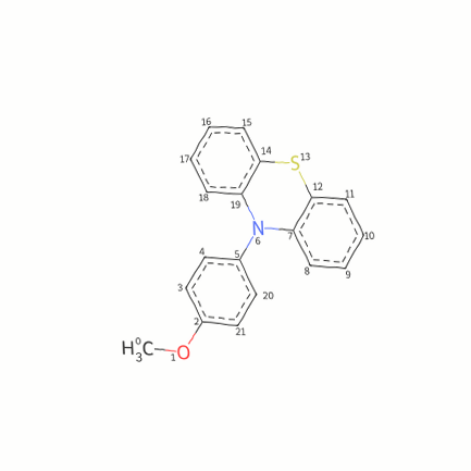 COc1ccc(N2c3ccccc3Sc3ccccc32)cc1